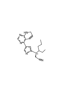 CCCC(CC)[C@@H](CC#N)n1cc(-c2ncnc3c2C#CCN3)cn1